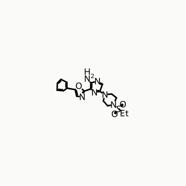 CCS(=O)(=O)N1CCN(c2cnc(N)c(-c3ncc(-c4ccccc4)o3)n2)CC1